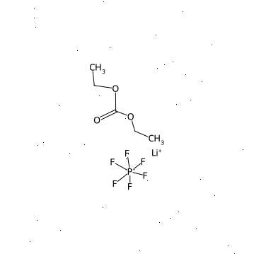 CCOC(=O)OCC.F[P-](F)(F)(F)(F)F.[Li+]